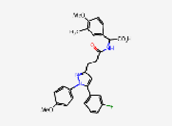 COc1ccc(-n2nc(CCC(=O)NC(C(=O)O)c3ccc(OC)c(C)c3)cc2-c2cccc(F)c2)cc1